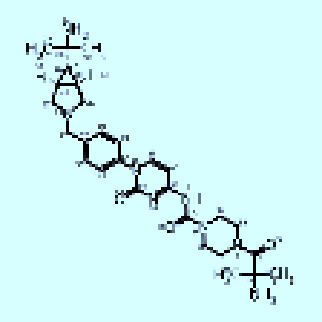 CC(C)(N)C(=O)N1CCN(C(=O)Nc2ccn(-c3ccc(CN4C[C@@H]5[C@H](C4)[C@H]5C(C)(C)N)cc3)c(=O)n2)CC1